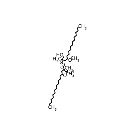 CCCCCCCCCCCCCCC(CC(C)(CO)OOOC(C)(CO)CC(CCCCCCCCCCCCCC)OC)OC